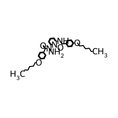 CCCCCCOc1ccc(C(=O)Nc2cccc(N(N)C(=O)c3ccc(OCCCCCC)cc3)n2)cc1